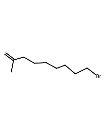 C=C(C)CCCCCCCBr